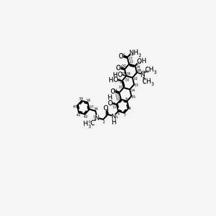 CN(CC(=O)Nc1ccc2c(c1O)C(=O)C1=C(O)[C@]3(O)C(=O)C(C(N)=O)=C(O)[C@@H](N(C)C)C3CC1C2)Cc1ccccc1